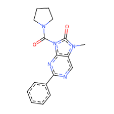 Cn1c(=O)n(C(=O)N2CCCC2)c2nc(-c3ccccc3)ncc21